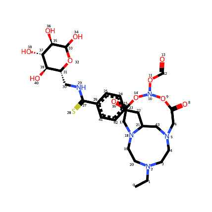 CCN1CCN2CC(=O)ON(OC=O)OC(=O)CN(CC1)C(Cc1ccc(C(=S)NC[C@H]3OC(O)[C@H](O)[C@@H](O)[C@@H]3O)cc1)C2